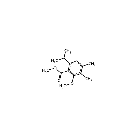 COC(=O)c1c(C(C)C)nc(C)c(C)c1OC